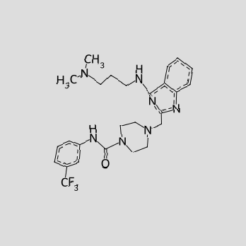 CN(C)CCCNc1nc(CN2CCN(C(=O)Nc3cccc(C(F)(F)F)c3)CC2)nc2ccccc12